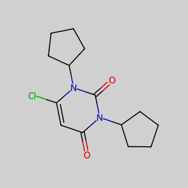 O=c1cc(Cl)n(C2CCCC2)c(=O)n1C1CCCC1